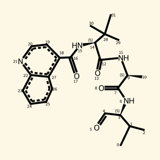 CC(C)[C@@H](C=O)NC(=O)[C@H](C)NC(=O)[C@@H](NC(=O)c1ccnc2ccccc12)C(C)(C)C